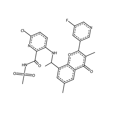 Cc1cc(C(C)Nc2ccc(Cl)nc2C(=O)NS(C)(=O)=O)c2oc(-c3cncc(F)c3)c(C)c(=O)c2c1